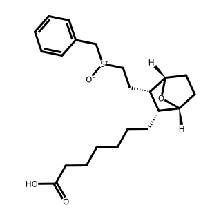 O=C(O)CCCCCC[C@@H]1[C@H](CC[S+]([O-])Cc2ccccc2)[C@@H]2CC[C@H]1O2